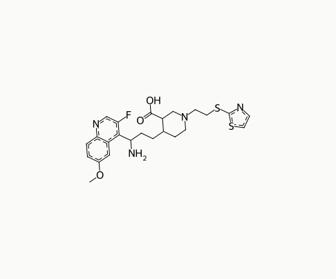 COc1ccc2ncc(F)c(C(N)CCC3CCN(CCSc4nccs4)CC3C(=O)O)c2c1